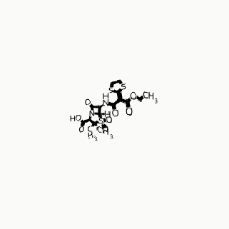 CCOC(=O)C(C(=O)N[C@@H]1C(=O)N2C(C(=O)O)C(C)(C)S(=O)(=O)[C@@H]12)=C1SCCS1